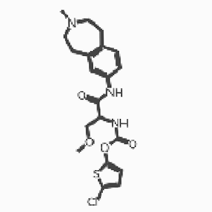 COCC(NC(=O)Oc1ccc(Cl)s1)C(=O)Nc1ccc2c(c1)CCN(C)CC2